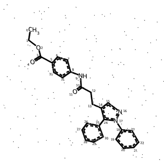 CCOC(=O)c1ccc(NC(=O)CCc2cnn(-c3ccccc3)c2-c2ccccc2)cc1